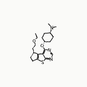 CCOCCC1CCc2sc3ncnc(O[C@H]4CC[C@H](N(C)C)CC4)c3c21